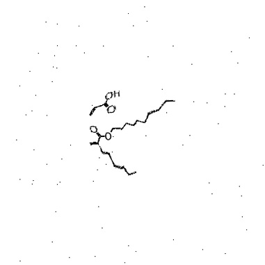 C=C(CCCCCC)C(=O)OCCCCCCCCCC.C=CC(=O)O